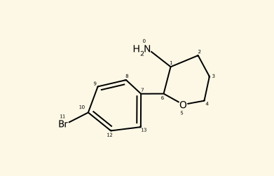 NC1CCCOC1c1ccc(Br)cc1